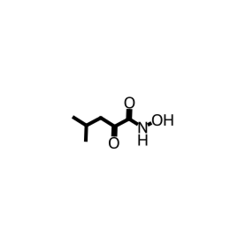 CC(C)CC(=O)C(=O)NO